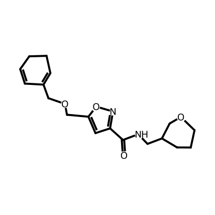 O=C(NCC1CCCOC1)c1cc(COCC2=CCCC=C2)on1